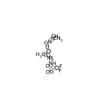 COc1cc(OCC(=O)N2CC[N+](C)(C)CC2)ccc1-c1csc(CNC(=O)C2(CC(=O)[O-])Cc3cc(F)c(F)cc3C2)n1